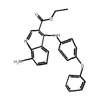 CCOC(=O)c1cnc2c(N)cccc2c1Nc1ccc(Oc2ccccc2)cc1